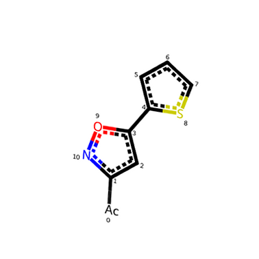 CC(=O)c1cc(-c2cccs2)on1